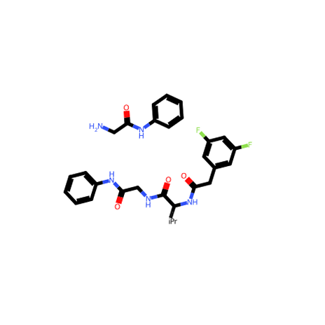 CC(C)C(NC(=O)Cc1cc(F)cc(F)c1)C(=O)NCC(=O)Nc1ccccc1.NCC(=O)Nc1ccccc1